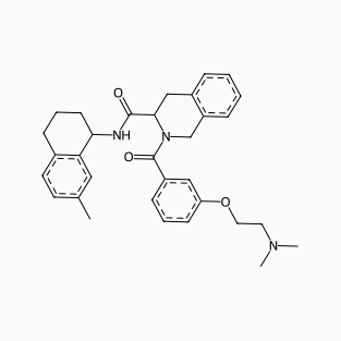 Cc1ccc2c(c1)C(NC(=O)C1Cc3ccccc3CN1C(=O)c1cccc(OCCN(C)C)c1)CCC2